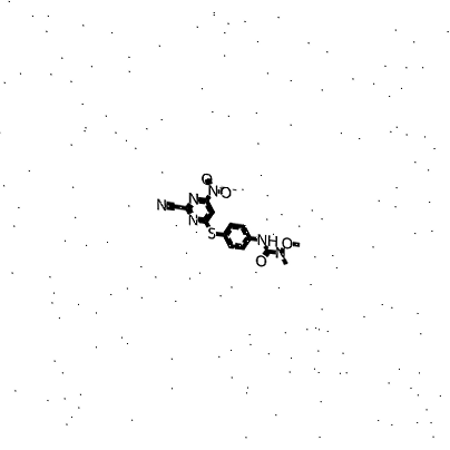 CON(C)C(=O)Nc1ccc(Sc2cc([N+](=O)[O-])nc(C#N)n2)cc1